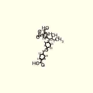 CCC(C)C(c1ccc(OCc2ccc(C(=O)O)cc2)cc1)c1nc([N+](=O)[O-])c(CO)[nH]1